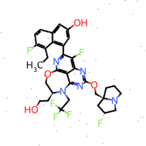 CCc1c(F)ccc2cc(O)cc(-c3nc4c5c(nc(OC[C@@]67CCCN6C[C@H](F)C7)nc5c3F)N(CC(F)(F)F)[C@@H](CCO)CO4)c12